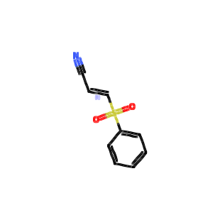 N#C/C=C/S(=O)(=O)c1ccccc1